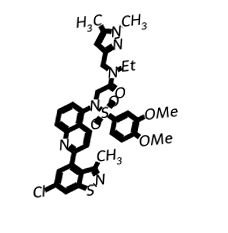 CCN(Cc1cc(C)n(C)n1)C(=O)CN(c1cccc2nc(-c3cc(Cl)cc4snc(C)c34)ccc12)S(=O)(=O)c1ccc(OC)c(OC)c1